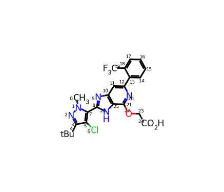 Cn1nc(C(C)(C)C)c(Cl)c1-c1nc2cc(-c3ccccc3C(F)(F)F)nc(OCC(=O)O)c2[nH]1